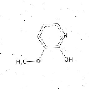 COc1c[c]cnc1O